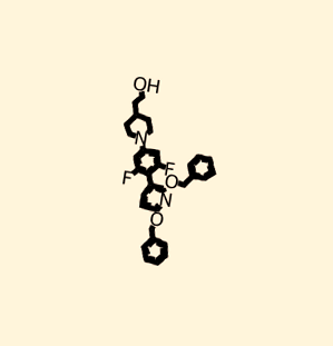 OCCC1CCN(c2cc(F)c(-c3ccc(OCc4ccccc4)nc3OCc3ccccc3)c(F)c2)CC1